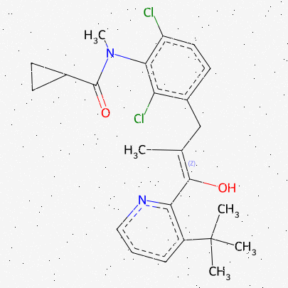 C/C(Cc1ccc(Cl)c(N(C)C(=O)C2CC2)c1Cl)=C(/O)c1ncccc1C(C)(C)C